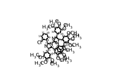 COc1cc(-c2nc(-c3ccccc3Cl)n(-c3nc(-c4cc(OC)c(OC)c(OC)c4)c(-c4cc(OC)c(OC)c(OC)c4)n3-c3ccccc3Cl)c2-c2cc(OC)c(OC)c(OC)c2)cc(OC)c1OC